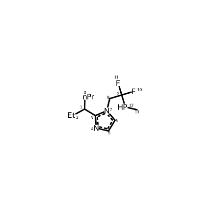 CCCC(CC)c1nccn1CC(F)(F)PC